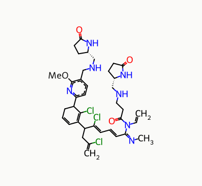 C=CN(C(=O)CCNC[C@@H]1CCC(=O)N1)C(/C=C/C=C(\Cl)C(CC(=C)Cl)C1=C(Cl)C(c2ccc(CNC[C@@H]3CCC(=O)N3)c(OC)n2)CC=C1)=N\C